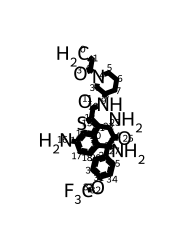 C=CC(=O)N1CCCC(NC(=O)c2sc3c(N)ccc4c3c2C(N)C(=O)C4(N)c2ccc(OC(F)(F)F)cc2)C1